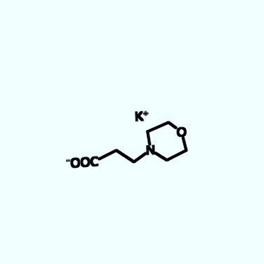 O=C([O-])CCN1CCOCC1.[K+]